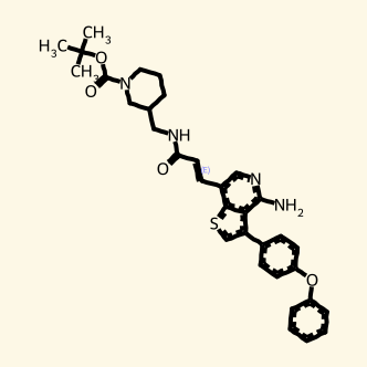 CC(C)(C)OC(=O)N1CCCC(CNC(=O)/C=C/c2cnc(N)c3c(-c4ccc(Oc5ccccc5)cc4)csc23)C1